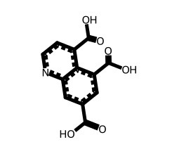 O=C(O)c1cc(C(=O)O)c2c(C(=O)O)ccnc2c1